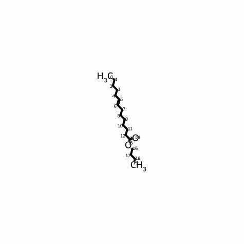 CCCCCC=CCCCCCCC(=O)OCCCC